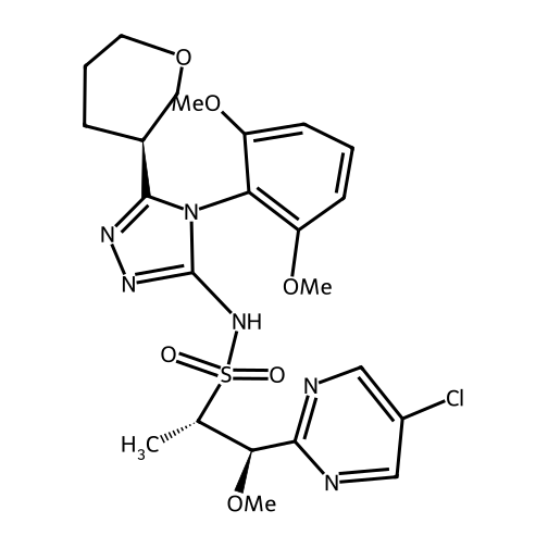 COc1cccc(OC)c1-n1c(NS(=O)(=O)[C@@H](C)[C@H](OC)c2ncc(Cl)cn2)nnc1[C@H]1CCCOC1